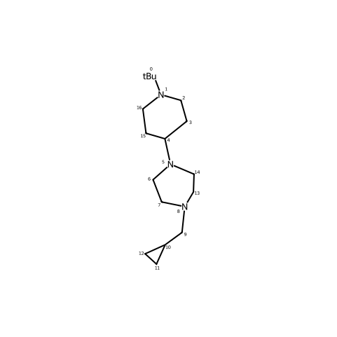 CC(C)(C)N1CCC(N2CCN(CC3CC3)CC2)CC1